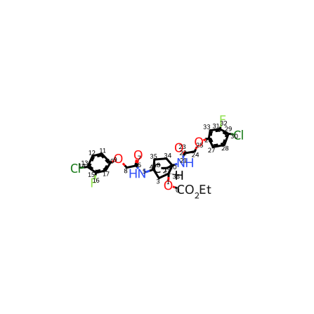 CCOC(=O)O[C@H]1CC2(NC(=O)COc3ccc(Cl)c(F)c3)CCC1(NC(=O)COc1ccc(Cl)c(F)c1)CC2